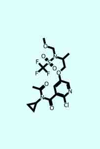 COCN(C(C)COc1cnc(Cl)c(C(=O)N(C(C)=O)C2CC2)c1)S(=O)(=O)C(F)(F)F